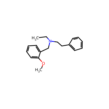 CCN(CCc1ccccc1)Cc1ccccc1OC